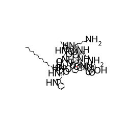 CCCCCCCCCCCCCC(=O)N[C@@H](Cc1c[nH]c2ccccc12)C(=O)NCC(=O)NCC(=O)N[C@H](C(=O)N[C@@H](CCCCN)C(=O)N[C@@H](CCCN)C(=O)N[C@@H](CC(N)=O)C(=O)N[C@@H](Cc1ccc(O)cc1)C(=O)N[C@@H](C)C(=O)O)[C@@H](C)CC